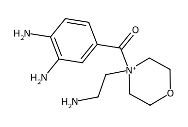 NCC[N+]1(C(=O)c2ccc(N)c(N)c2)CCOCC1